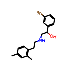 Cc1ccc(CCNCC(O)c2cccc(Br)c2)c(C)c1